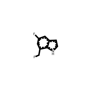 FCc1cc(F)cc2cc[nH]c12